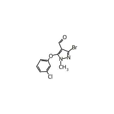 Cn1nc(Br)c(C=O)c1Oc1cccc(Cl)c1